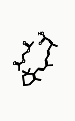 CC(=O)OCOC(C)=O.CC(C=CC1=C(C)CCCC1(C)C)=CC=C/C(C)=C\C(=O)O